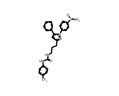 N[S+]([O-])c1ccc(-n2nc(CCCNC(=O)Nc3ccc(C(F)(F)F)cc3)cc2-c2ccccc2)cc1